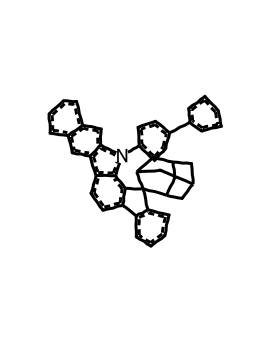 c1ccc(-c2ccc(-n3c4cc5ccccc5cc4c4ccc5c(c43)C3(c4ccccc4-5)C4CC5CC(C4)CC3C5)cc2)cc1